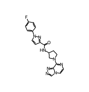 O=C(NC1CCN(c2nccn3cnnc23)C1)c1ccn(-c2ccc(F)cc2)n1